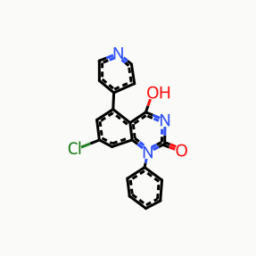 O=c1nc(O)c2c(-c3ccncc3)cc(Cl)cc2n1-c1ccccc1